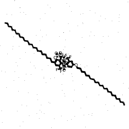 CCCCCCCCCCCCCCCCCCCCCCCOc1ccc(S(=O)(=O)c2c(C(F)(F)S(=O)(=O)Cl)cc(CCCCCCCCCCCCCCCCCCCCCCC)cc2C(F)(F)S(=O)(=O)Cl)c(C(F)(F)S(=O)(=O)Cl)c1